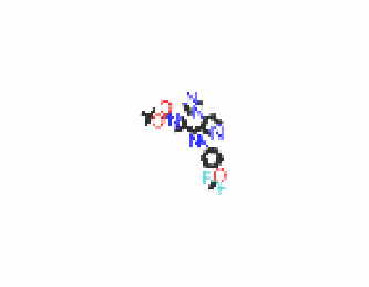 CC(C)(C)OC(=O)N1CC(c2nn(-c3ccc(OC(C)(F)F)cc3)c3nccc(-n4ccnc4)c23)C1